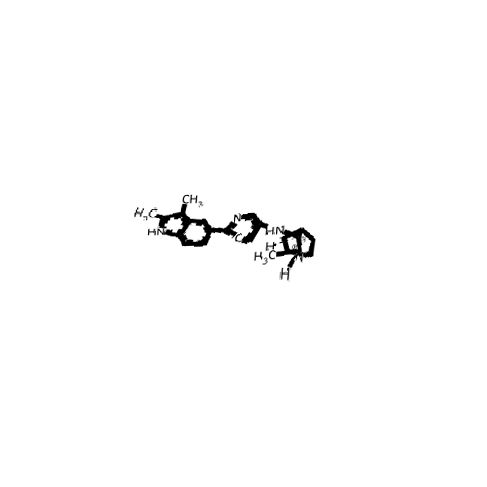 Cc1[nH]c2ccc(-c3ccc(N[C@H]4C5CCN(CC5)[C@@H]4C)cn3)cc2c1C